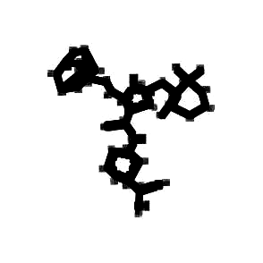 CC1=C(Cc2nc(C(=O)Nc3cccc(C(=O)O)c3)c(CCC34CC5CC(CC(C5)C3)C4)[nH]2)C(C)(C)CCC1